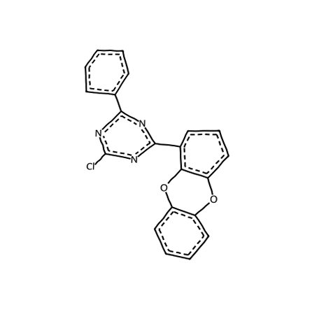 Clc1nc(-c2ccccc2)nc(-c2cccc3c2Oc2ccccc2O3)n1